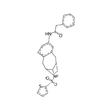 O=C(Cc1ccccc1)Nc1ccc2c(c1)CC1CCC(C2)C1NS(=O)(=O)c1cccs1